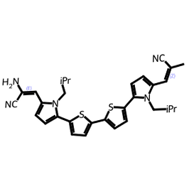 C/C(C#N)=C/c1ccc(-c2ccc(-c3ccc(-c4ccc(/C=C(/N)C#N)n4CC(C)C)s3)s2)n1CC(C)C